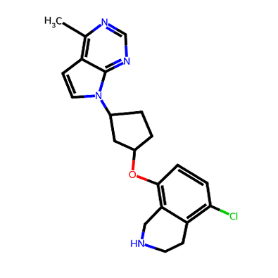 Cc1ncnc2c1ccn2C1CCC(Oc2ccc(Cl)c3c2CNCC3)C1